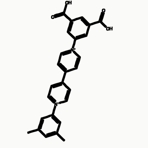 Cc1cc(C)cc(-[n+]2ccc(-c3cc[n+](-c4cc(C(=O)O)cc(C(=O)O)c4)cc3)cc2)c1